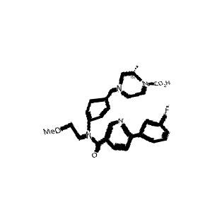 COCCN(C(=O)c1ccc(-c2cccc(F)c2)nc1)c1ccc(CN2CCN(C(=O)O)[C@@H](C)C2)cc1